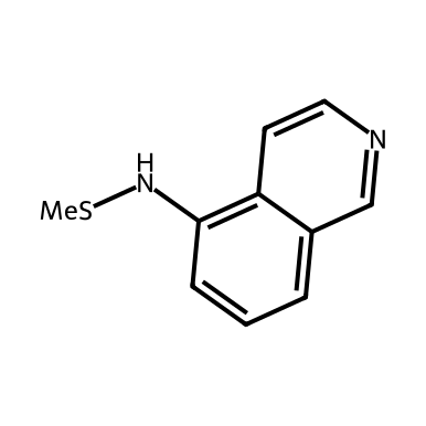 CSNc1cccc2cnccc12